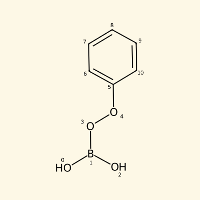 OB(O)OOc1ccccc1